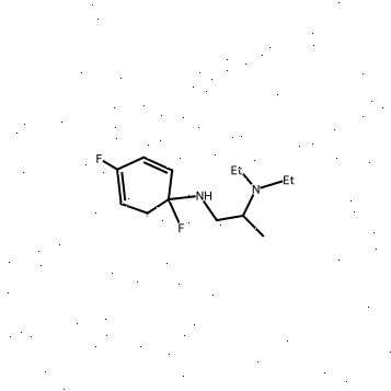 CCN(CC)C(C)CNC1(F)[CH]C=C(F)C=C1